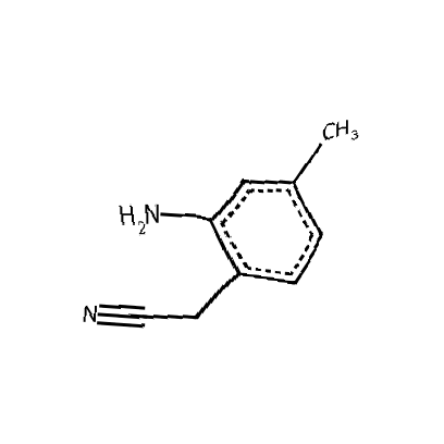 Cc1ccc(CC#N)c(N)c1